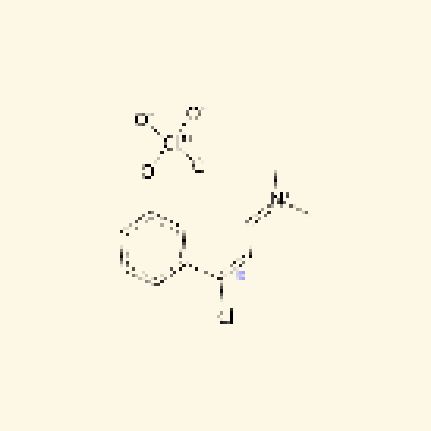 C[N+](C)=C/C=C(/Cl)c1ccccc1.[O-][Cl+3]([O-])([O-])[O-]